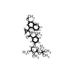 COc1cc(C2(NC(=O)c3cc(OC[C@H](C)N(C)C(=O)OC(C)(C)C)ccc3C)CC2)c2cccnc2c1